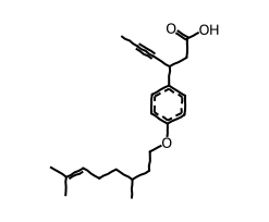 CC#CC(CC(=O)O)c1ccc(OCCC(C)CCC=C(C)C)cc1